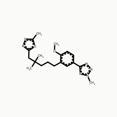 COc1ccc(-c2nnn(C)n2)cc1CCCC(C)(C)Cc1nnc(C)o1